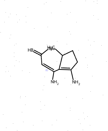 B=C(/C=C(/N)C1=C(N)CCC1C)C(C)(C)C